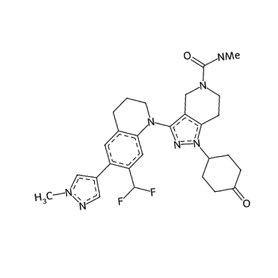 CNC(=O)N1CCc2c(c(N3CCCc4cc(-c5cnn(C)c5)c(C(F)F)cc43)nn2C2CCC(=O)CC2)C1